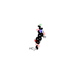 C=C/C(=C\C=C(/C)Cl)n1c(=O)cc([C@@]23CC[C@]4(C)C(CC[C@@H]5C6(C)CC[C@H](OC(=O)CC(C)(C)C(=O)O)C(C)(C)[C@@H]6CC[C@]54C)C2=C(C(C)C)C(=O)C3)n1CC